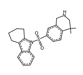 CC1(C)CNCc2cc(S(=O)(=O)n3c4c(c5ccccc53)CCCC4)ccc21